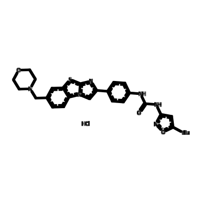 CC(C)(C)c1cc(NC(=O)Nc2ccc(-c3cn4c(n3)sc3cc(CN5CCOCC5)ccc34)cc2)no1.Cl